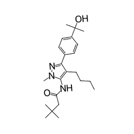 CCCCc1c(-c2ccc(C(C)(C)O)cc2)nn(C)c1NC(=O)CC(C)(C)C